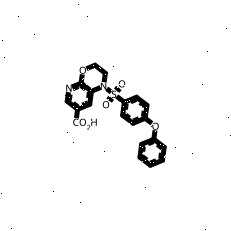 O=C(O)c1cnc2c(c1)N(S(=O)(=O)c1ccc(Oc3ccccc3)cc1)CCO2